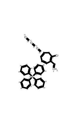 C=CC1=[C]([Cr])CC=CC=C1.[C]=O.[C]=O.[C]=O.c1ccc([B-](c2ccccc2)(c2ccccc2)c2ccccc2)cc1